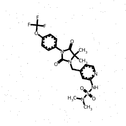 CN(C)S(=O)(=O)Nc1cc(CN2C(=O)N(c3ccc(OC(F)(F)F)cc3)C(=O)C2(C)C)ccn1